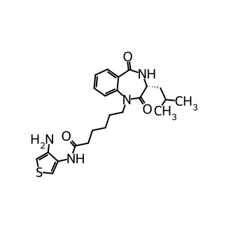 CC(C)C[C@H]1NC(=O)c2ccccc2N(CCCCCC(=O)Nc2cscc2N)C1=O